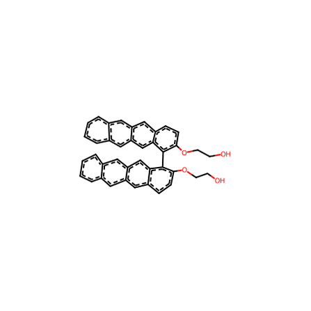 OCCOc1ccc2cc3cc4ccccc4cc3cc2c1-c1c(OCCO)ccc2cc3cc4ccccc4cc3cc12